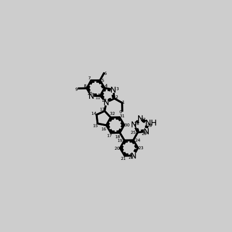 CCc1nc2c(C)cc(C)nc2n1C1CCc2cc(-c3ccncc3-c3nn[nH]n3)ccc21